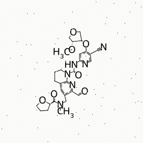 CO[C@@H]1COC[C@H]1Oc1cc(NC(=O)N2CCCc3cc(CN(C)C(=O)[C@H]4CCCO4)c(C=O)nc32)ncc1C#N